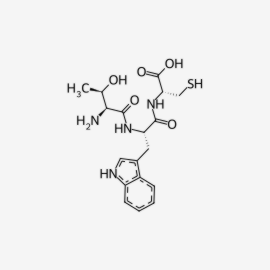 C[C@@H](O)[C@H](N)C(=O)N[C@@H](Cc1c[nH]c2ccccc12)C(=O)N[C@@H](CS)C(=O)O